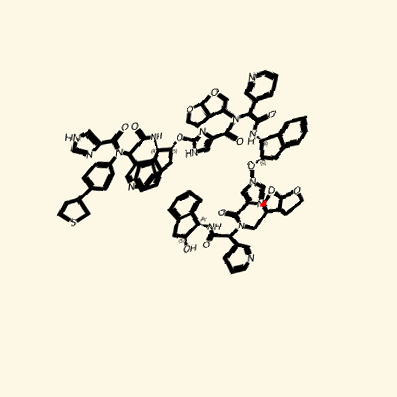 O=C(N[C@@H]1c2ccccc2C[C@@H]1O)C(c1cccnc1)N(CC1COC2OCCC12)C(=O)c1cn(O[C@H]2Cc3ccccc3[C@H]2NC(=O)C(c2cccnc2)N(C(=O)c2c[nH]c(O[C@H]3Cc4ccccc4[C@H]3NC(=O)C(c3cccnc3)N(C(=O)c3c[nH]cn3)c3ccc(C4CCSC4)cc3)n2)C2COC3OCCC32)cn1